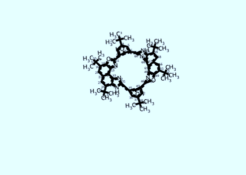 CC(C)(C)c1cc2c(O)c(c1)c1nc3c(o1)c(C(C)(C)C)cc1cc(C(C)(C)C)c4[nH]c(nc4c13)c1cc(C(C)(C)C)cc(c1O)c1nc3c(o1)c(C(C)(C)C)cc1cc(C(C)(C)C)c4[nH]c2nc4c13